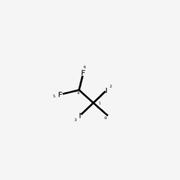 CC(I)(I)C(F)F